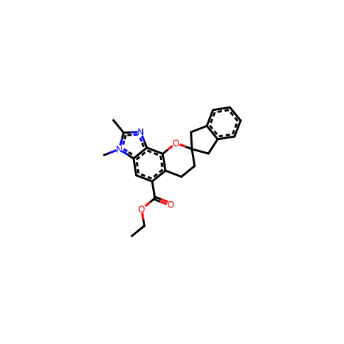 CCOC(=O)c1cc2c(nc(C)n2C)c2c1CCC1(Cc3ccccc3C1)O2